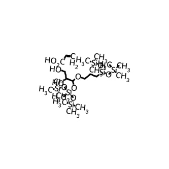 C=CC(=O)O.C[Si](C)(C)O[SiH](CCCOC(O[Si](C)(O[Si](C)(C)C)O[Si](C)(C)C)C(O)CO)O[Si](C)(C)C